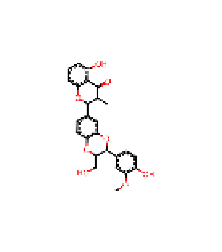 COc1cc(C2Oc3cc(C4Oc5cccc(O)c5C(=O)C4C)ccc3OC2CO)ccc1O